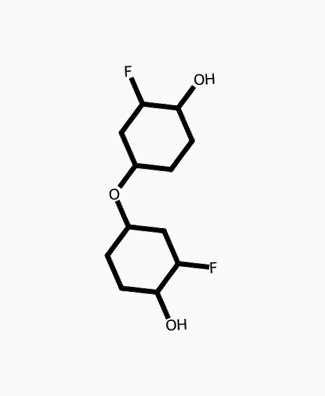 OC1CCC(OC2CCC(O)C(F)C2)CC1F